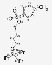 Cc1ccc(S(=O)(=O)OCCCCO[Si](C(C)C)(C(C)C)C(C)C)cc1